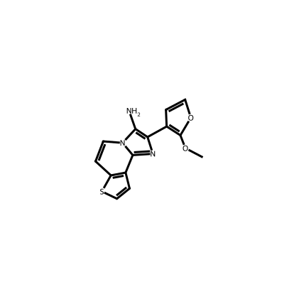 COc1occc1-c1nc2c3ccsc3ccn2c1N